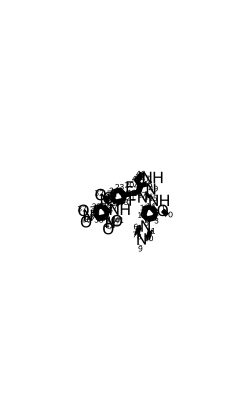 COc1cc(N2CCN(C)CC2)ccc1Nc1nc(C(F)(F)c2cccc(Nc3c([N+](=O)[O-])cc([N+](=O)[O-])cc3[N+](=O)[O-])c2)c2cc[nH]c2n1